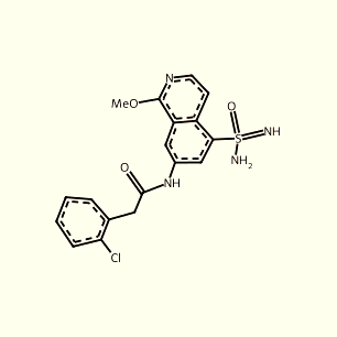 COc1nccc2c(S(=N)(N)=O)cc(NC(=O)Cc3ccccc3Cl)cc12